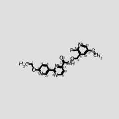 CCOc1ccc(-c2nccc(C(=O)NOCc3cc(OC)cnc3F)n2)cn1